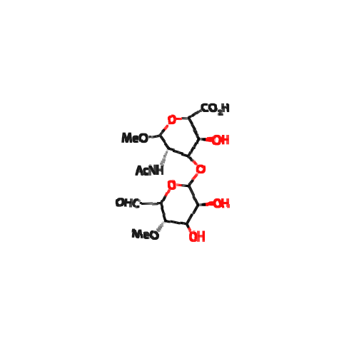 COC1OC(C(=O)O)[C@@H](O)C(OC2OC(C=O)[C@@H](OC)C(O)[C@@H]2O)[C@@H]1NC(C)=O